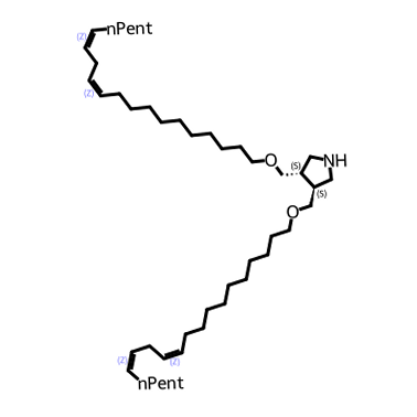 CCCCC/C=C\C/C=C\CCCCCCCCCCOC[C@@H]1CNC[C@H]1COCCCCCCCCCC/C=C\C/C=C\CCCCC